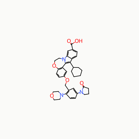 O=C(O)c1ccc2c(C3CCCCC3)c3n(c2c1)CCOc1ccc(OCc2cc(N4CCCC4=O)ccc2N2CCOCC2)cc1-3